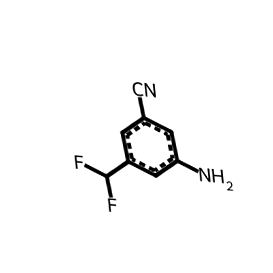 N#Cc1cc(N)cc(C(F)F)c1